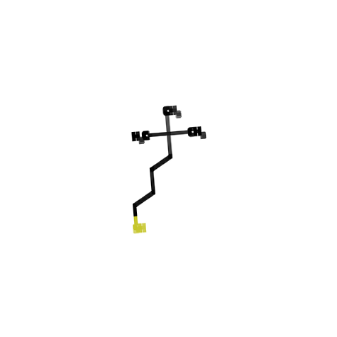 CC(C)(C)CCCCS